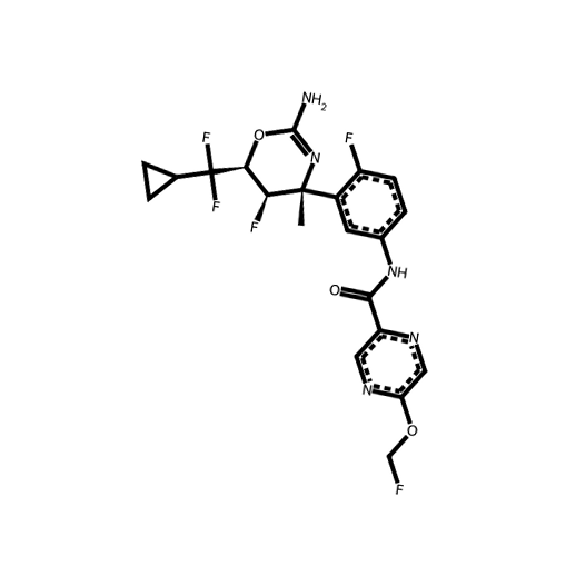 C[C@]1(c2cc(NC(=O)c3cnc(OCF)cn3)ccc2F)N=C(N)O[C@H](C(F)(F)C2CC2)[C@@H]1F